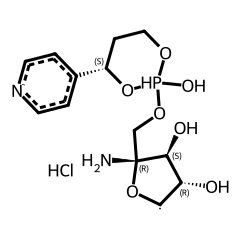 Cl.N[C@]1(CO[PH]2(O)OCC[C@@H](c3ccncc3)O2)O[CH][C@@H](O)[C@@H]1O